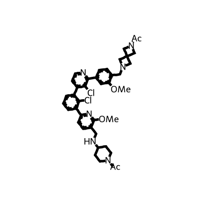 COc1cc(-c2nccc(-c3cccc(-c4ccc(CNC5CCN(C(C)=O)CC5)c(OC)n4)c3Cl)c2Cl)ccc1CN1CC2(C1)CN(C(C)=O)C2